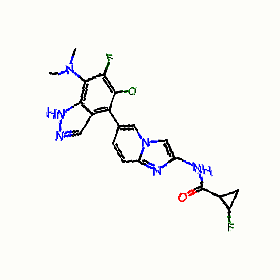 CN(C)c1c(F)c(Cl)c(-c2ccc3nc(NC(=O)C4CC4F)cn3c2)c2cn[nH]c12